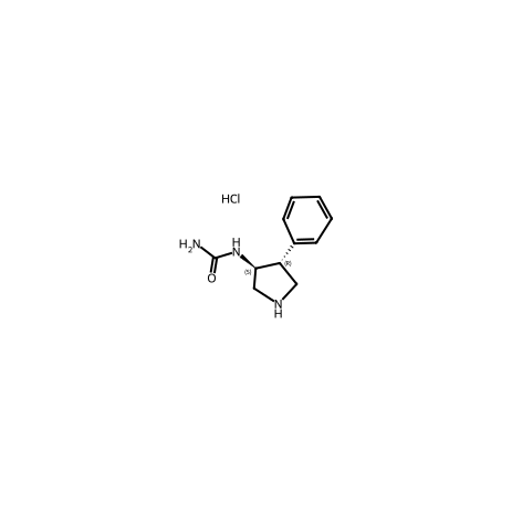 Cl.NC(=O)N[C@@H]1CNC[C@H]1c1ccccc1